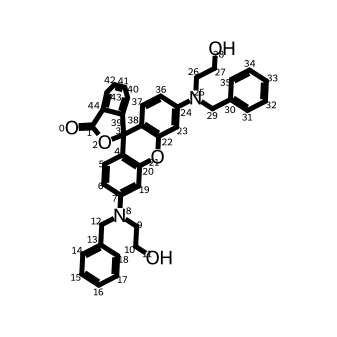 O=C1OC2(c3ccc(N(CCO)Cc4ccccc4)cc3Oc3cc(N(CCO)Cc4ccccc4)ccc32)c2ccccc21